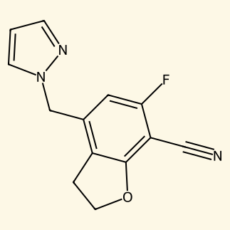 N#Cc1c(F)cc(Cn2cccn2)c2c1OCC2